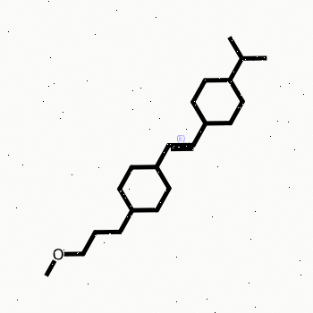 COCCCC1CCC(/C=C/C2CCC(C(C)C)CC2)CC1